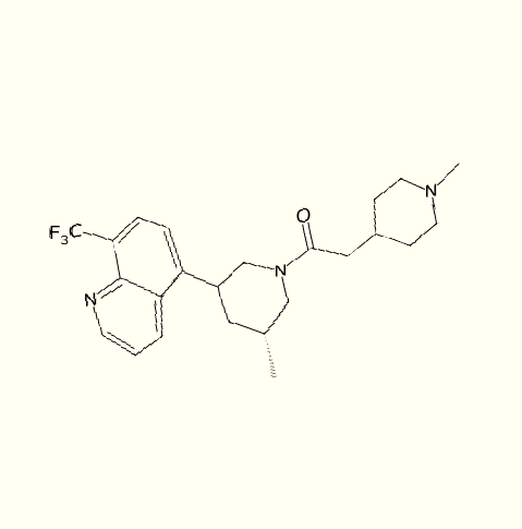 C[C@@H]1CC(c2ccc(C(F)(F)F)c3ncccc23)CN(C(=O)CC2CCN(C)CC2)C1